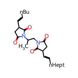 CCCC/C=C/C1CC(=O)N(C(C)CN2C(=O)CC(/C=C/CCCCCCC)C2=O)C1=O